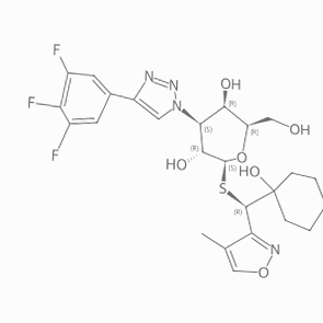 Cc1conc1[C@@H](S[C@@H]1O[C@H](CO)[C@H](O)[C@H](n2cc(-c3cc(F)c(F)c(F)c3)nn2)[C@H]1O)C1(O)CCCCC1